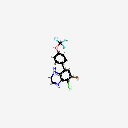 FC(F)(F)Oc1ccc(-c2cc(Br)c(Cl)c3c2NCC=N3)cc1